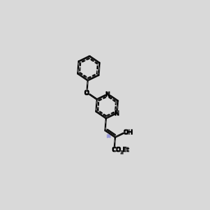 CCOC(=O)/C(O)=C/c1cc(Oc2ccccc2)ncn1